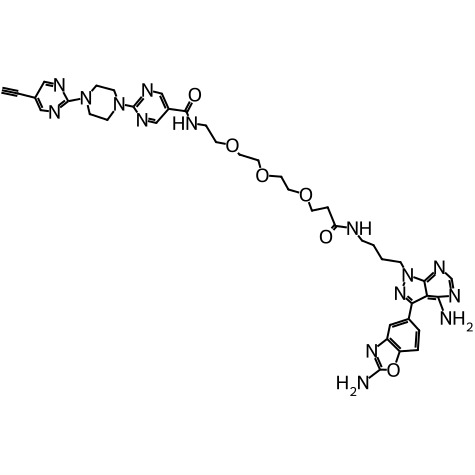 C#Cc1cnc(N2CCN(c3ncc(C(=O)NCCOCCOCCOCCC(=O)NCCCCn4nc(-c5ccc6oc(N)nc6c5)c5c(N)ncnc54)cn3)CC2)nc1